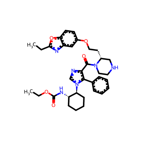 CCOC(=O)N[C@H]1CCCC[C@@H]1n1cnc(C(=O)N2CCNC[C@H]2CCOc2ccc3oc(CC)nc3c2)c1-c1ccccc1